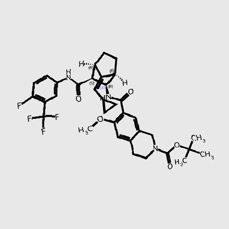 COc1cc2c(cc1C(=O)N[C@H]1[C@@H](C(=O)Nc3ccc(F)c(C(F)(F)F)c3)[C@H]3CC[C@@H]1/C3=C\C1CC1)CN(C(=O)OC(C)(C)C)CC2